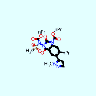 CCCOC(=O)N(n1c(=O)c2cc(-c3ccnn3C)c(C(C)C)cc2n(C(=O)OCCC)c1=O)S(C)(=O)=O